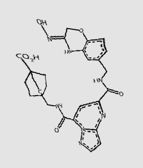 O=C(NCc1ccc2c(c1)N/C(=N/O)CO2)c1cc(C(=O)NCC23CCC(C(=O)O)(CC2)CC3)n2nccc2n1